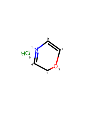 C1=COCC=N1.Cl